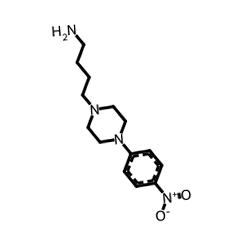 NCCCCN1CCN(c2ccc([N+](=O)[O-])cc2)CC1